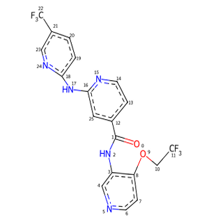 O=C(Nc1cnccc1OCC(F)(F)F)c1ccnc(Nc2ccc(C(F)(F)F)cn2)c1